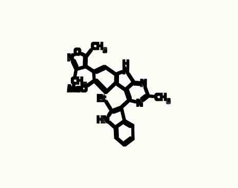 CCc1[nH]c2ccccc2c1-c1nc(C)nc2[nH]c3cc(-c4c(C)noc4C)c(OC)cc3c12